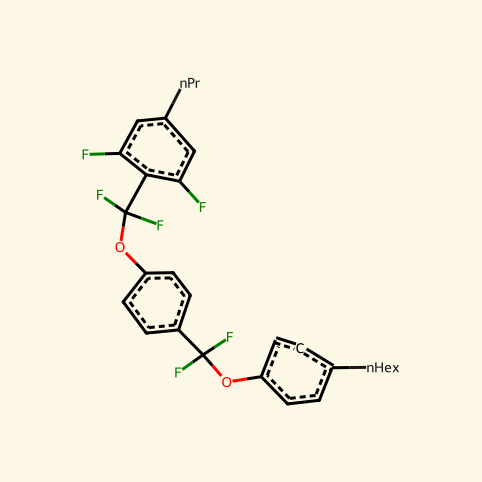 CCCCCCc1ccc(OC(F)(F)c2ccc(OC(F)(F)c3c(F)cc(CCC)cc3F)cc2)cc1